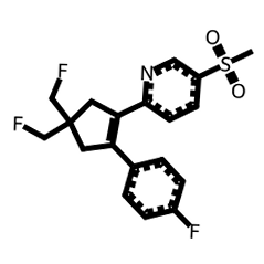 CS(=O)(=O)c1ccc(C2=C(c3ccc(F)cc3)CC(CF)(CF)C2)nc1